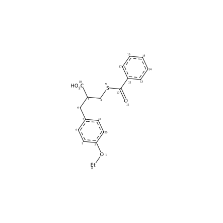 CCOc1ccc(CC(CSC(=O)c2ccccc2)C(=O)O)cc1